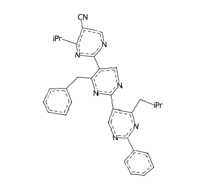 CC(C)Cc1nc(-c2ccccc2)ncc1-c1ncc(-c2ncc(C#N)c(C(C)C)n2)c(Cc2ccccc2)n1